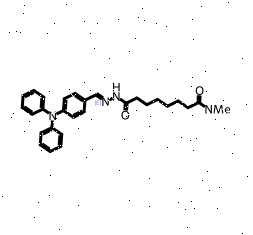 CNC(=O)CCCCCCC(=O)N/N=C/c1ccc(N(c2ccccc2)c2ccccc2)cc1